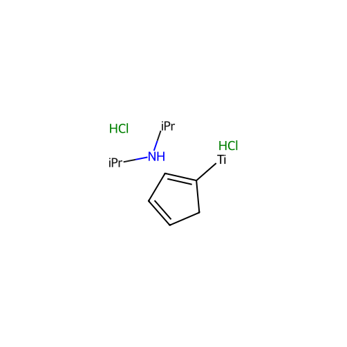 CC(C)NC(C)C.Cl.Cl.[Ti][C]1=CC=CC1